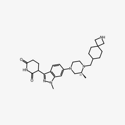 C[C@H]1CN(c2ccc3c(C4CCC(=O)NC4=O)nn(C)c3c2)CCN1CC1CCC2(CC1)CNC2